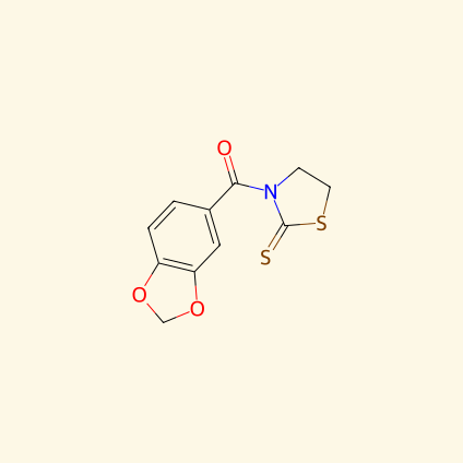 O=C(c1ccc2c(c1)OCO2)N1CCSC1=S